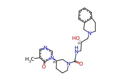 Cc1cncn([C@@H]2CCCN(C(=O)NC[C@H](O)CN3CCc4ccccc4C3)C2)c1=O